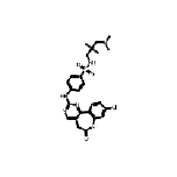 CN(C)CC(C)(C)CNS(=O)(=O)c1ccc(Nc2ncc3c(n2)-c2ccc(Cl)cc2NC(=O)C3)cc1